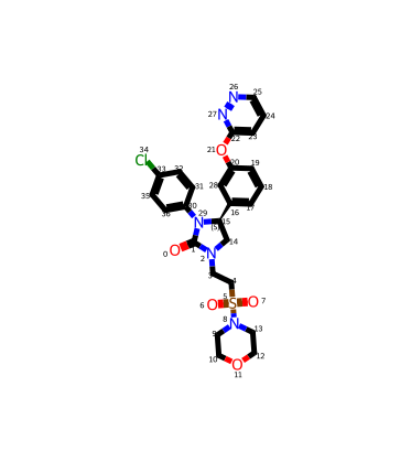 O=C1N(CCS(=O)(=O)N2CCOCC2)C[C@H](c2cccc(Oc3cccnn3)c2)N1c1ccc(Cl)cc1